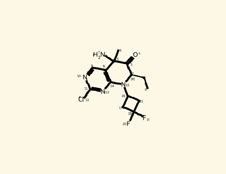 CC[C@@H]1C(=O)C(C)(N)c2cnc(Cl)nc2N1C1CC(F)(F)C1